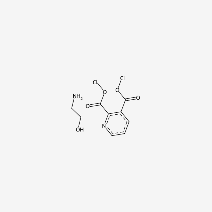 NCCO.O=C(OCl)c1cccnc1C(=O)OCl